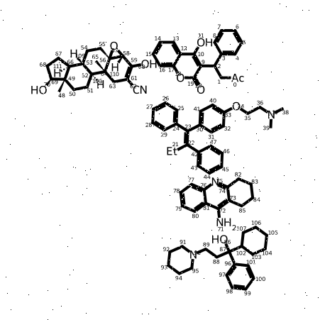 CC(=O)CC(c1ccccc1)c1c(O)c2ccccc2oc1=O.CC/C(=C(\c1ccccc1)c1ccc(OCCN(C)C)cc1)c1ccccc1.C[C@]12CC[C@H]3[C@@H](CC[C@@]45O[C@@H]4C(O)=C(C#N)C[C@]35C)[C@@H]1CC[C@@H]2O.Nc1c2c(nc3ccccc13)CCCC2.OC(CCN1CCCCC1)(c1ccccc1)C1CCCCC1